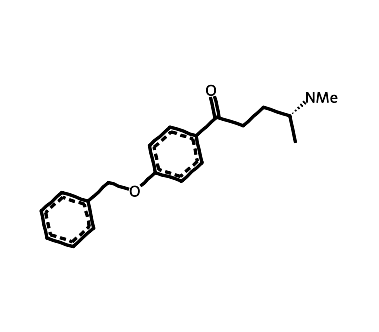 CN[C@H](C)CCC(=O)c1ccc(OCc2ccccc2)cc1